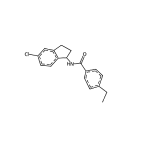 CCc1ccc(C(=O)NC2CCc3cc(Cl)ccc32)cc1